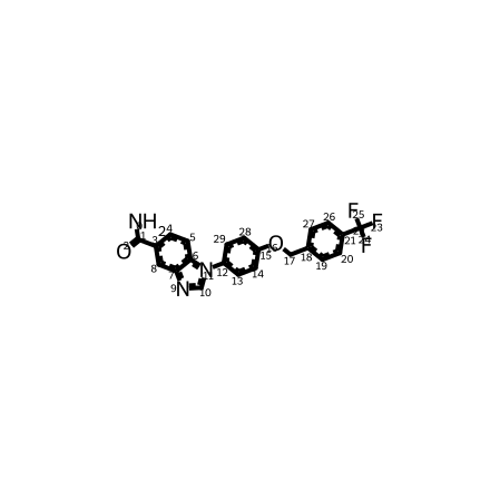 NC(=O)c1ccc2c(c1)ncn2-c1ccc(OCc2ccc(C(F)(F)F)cc2)cc1